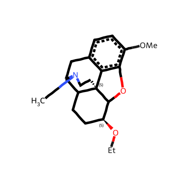 CCO[C@H]1CCC2C3Cc4ccc(OC)c5c4[C@@]2(CCN3C)C1O5